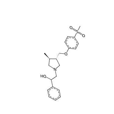 C[C@@H]1CN(CC(O)c2ccccc2)C[C@H]1COc1ccc(S(C)(=O)=O)cc1